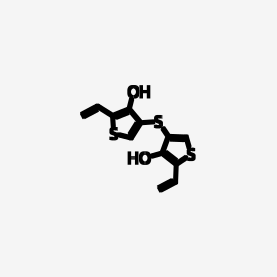 C=Cc1scc(Sc2csc(C=C)c2O)c1O